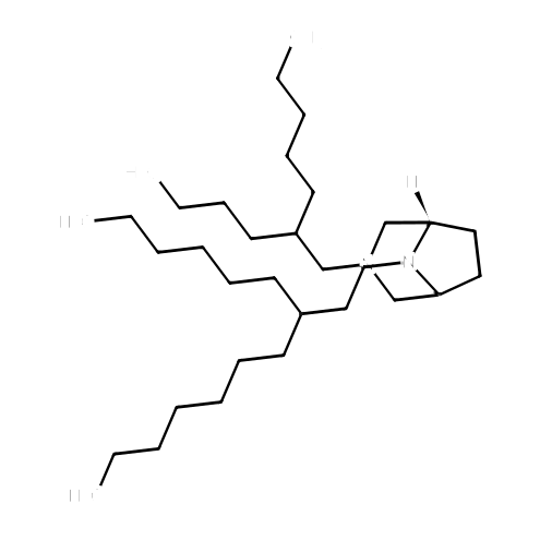 CCCCCCCC(CCCCCC)CCN1C2CC[C@H]1CN(CC(CCCC)CCCCC)C2